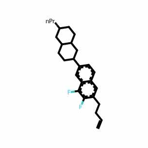 C=CCCc1cc2ccc(C3CCC4CC(CCC)CCC4C3)cc2c(F)c1F